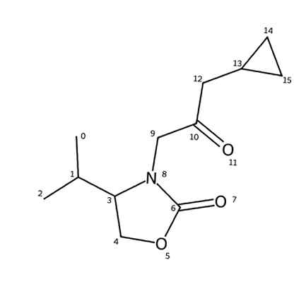 CC(C)C1COC(=O)N1CC(=O)CC1CC1